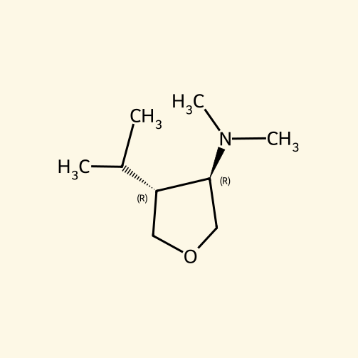 CC(C)[C@H]1COC[C@@H]1N(C)C